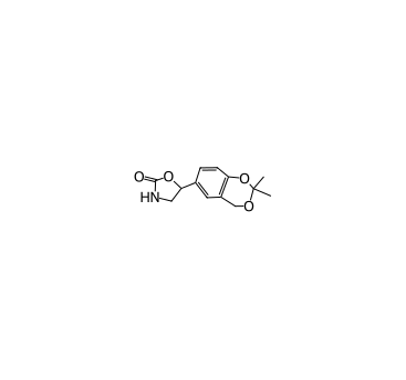 CC1(C)OCc2cc(C3CNC(=O)O3)ccc2O1